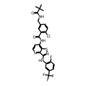 CC(C)(C)C(=O)NCc1ccc(Cl)c(C(=O)Nc2ccnc3c(Nc4cc(C(F)(F)F)ccc4F)nsc23)c1